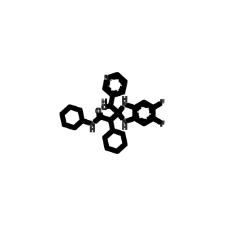 O=C(NC1CCCCC1)C(C1CCCCC1)C1(C(O)c2cccnc2)Nc2cc(F)c(F)cc2N1